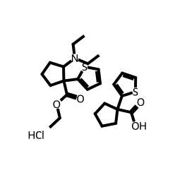 CCOC(=O)C1(c2cccs2)CCCC1N(CC)CC.Cl.O=C(O)C1(c2cccs2)CCCC1